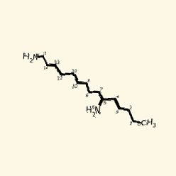 CCCCCC(N)CCCCCCCCCN